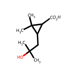 CC(C)(O)CC1C(C(=O)O)C1(C)C